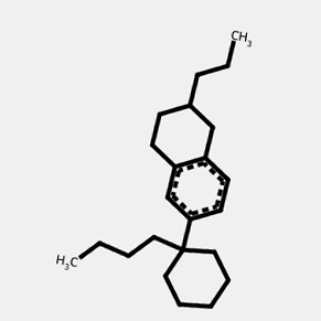 CCCCC1(c2ccc3c(c2)CCC(CCC)C3)CCCCC1